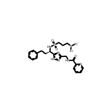 CCN(CC)CCCS(=O)(=O)N[C@H](CCc1ccccc1)c1nc(CNC(=O)c2ccccn2)n[nH]1